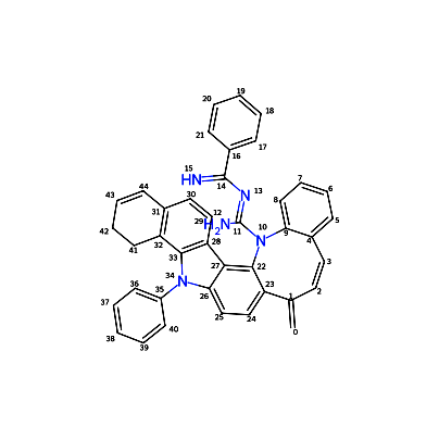 C=C1/C=C\c2ccccc2N(/C(N)=N/C(=N)c2ccccc2)c2c1ccc1c2c2ccc3c(c2n1-c1ccccc1)CCC=C3